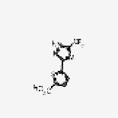 O=C(O)c1ccc(-c2n[nH]c(C(F)(F)F)n2)s1